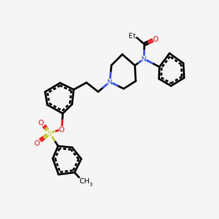 CCC(=O)N(c1ccccc1)C1CCN(CCc2cccc(OS(=O)(=O)c3ccc(C)cc3)c2)CC1